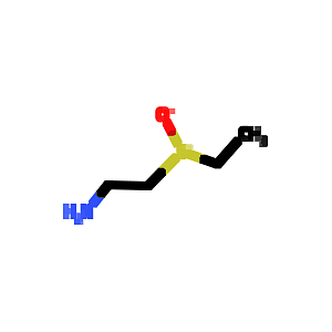 CC[S+]([O-])CCN